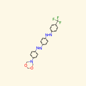 FC(F)(F)c1ccc(N=Nc2ccc(N=Nc3ccc(N4COCOC4)cc3)cc2)cc1